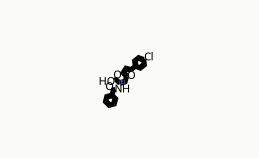 O=C(O)/C(=C\c1ccc(-c2ccc(Cl)cc2)o1)NC(=O)c1ccccc1